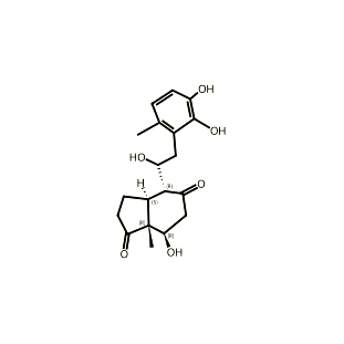 Cc1ccc(O)c(O)c1CC(O)[C@@H]1C(=O)C[C@@H](O)[C@]2(C)C(=O)CC[C@@H]12